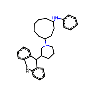 B1c2ccccc2C(C2CCCN(C3CCCCCC(Nc4ccccc4)CC3)C2)c2ccccc21